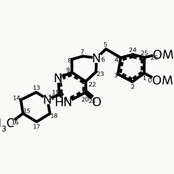 COc1ccc(CN2CCc3nc(N4CCC(C)CC4)[nH]c(=O)c3C2)cc1OC